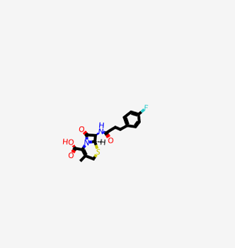 CC1=C(C(=O)O)N2C(=O)[C@@H](NC(=O)CCc3ccc(F)cc3)[C@H]2SC1